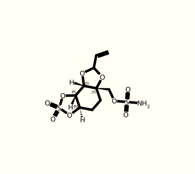 C=CC1O[C@H]2[C@H]3OS(=O)(=O)O[C@@H]3CC[C@@]2(COS(N)(=O)=O)O1